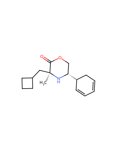 C[C@@]1(CC2CCC2)N[C@@H](C2C=CC=CC2)COC1=O